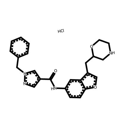 Cl.O=C(Nc1ccc2occ(CC3CNCCO3)c2c1)c1cnn(Cc2ccccc2)c1